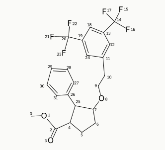 COC(=O)C1CCC(OCCc2cc(C(F)(F)F)cc(C(F)(F)F)c2)C1c1ccccc1